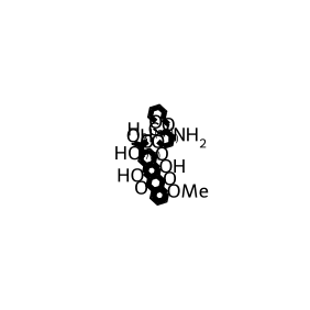 COc1cccc2c1C(=O)c1c(O)c3c(c(O)c1C2=O)C[C@@](O)(C(=O)CO)C[C@@H]3OC1C[C@H](N)[C@H](OC2CCCCO2)[C@H](C)O1